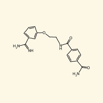 N=C(N)c1cccc(OCCNC(=O)c2ccc(C(N)=O)cc2)c1